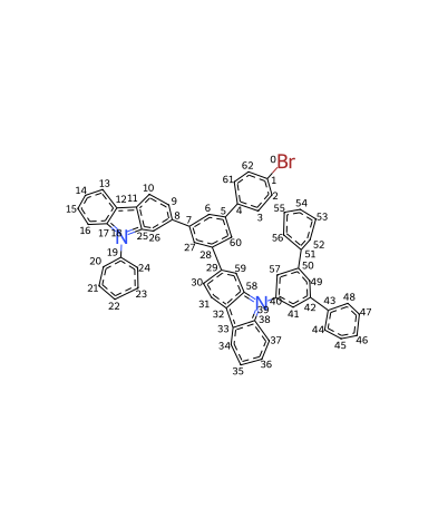 Brc1ccc(-c2cc(-c3ccc4c5ccccc5n(-c5ccccc5)c4c3)cc(-c3ccc4c5ccccc5n(-c5cc(-c6ccccc6)cc(-c6ccccc6)c5)c4c3)c2)cc1